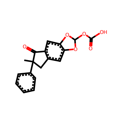 CC1(c2ccccc2)Cc2cc3c(cc2C1=O)OC(OC(=O)O)O3